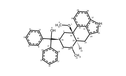 CO[C@]12C[C@H](C(O)(c3ccccc3)c3ccccc3)CN(C)[C@@H]1Cc1c[nH]c3cccc2c13